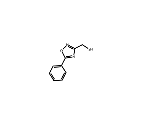 SCc1noc(-c2ccccc2)n1